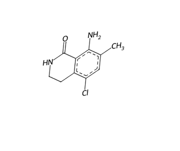 Cc1cc(Cl)c2c(c1N)C(=O)NCC2